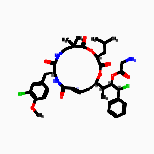 COc1ccc(C[C@H]2NC(=O)/C=C/C[C@@H]([C@H](C)[C@@H](OC(=O)CN)[C@@H](Cl)c3ccccc3)OC(=O)[C@H](CC(C)C)OC(=O)C(C)(C)CNC2=O)cc1Cl